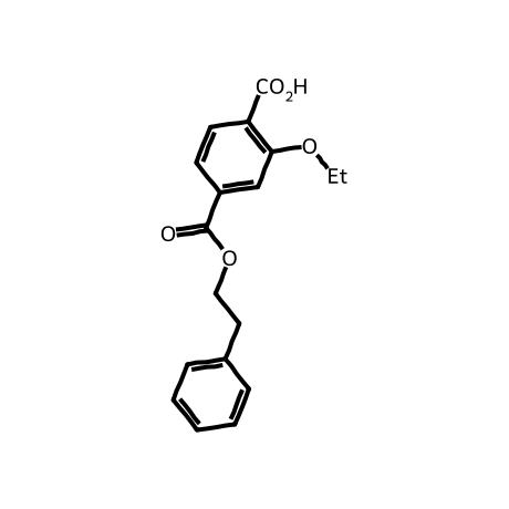 CCOc1cc(C(=O)OCCc2ccccc2)ccc1C(=O)O